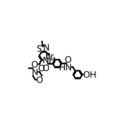 Cc1nc(C)c(C=C(NC(=O)c2ccc(C(=O)NCc3cccc(O)c3)cc2Br)C(=O)OC(C)N2CCOCC2)s1